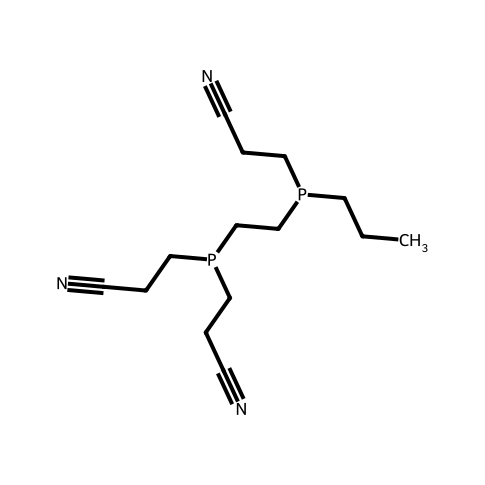 CCCP(CCC#N)CCP(CCC#N)CCC#N